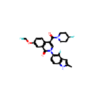 Cc1cc2c(F)c(-n3cc(C(=O)N4CCC(F)CC4)c4ccc(OCF)cc4c3=O)ccc2[nH]1